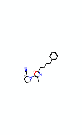 Cc1nc(CCCCc2ccccc2)oc1N1CCC[C@H]1C#N